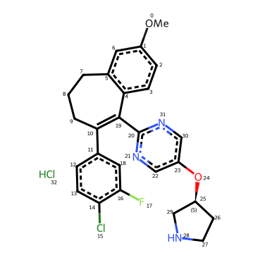 COc1ccc2c(c1)CCCC(c1ccc(Cl)c(F)c1)=C2c1ncc(O[C@H]2CCNC2)cn1.Cl